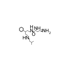 CC(C)CCNCCC(CCNC(=O)[C@H](N)CCCN)c1ccccc1